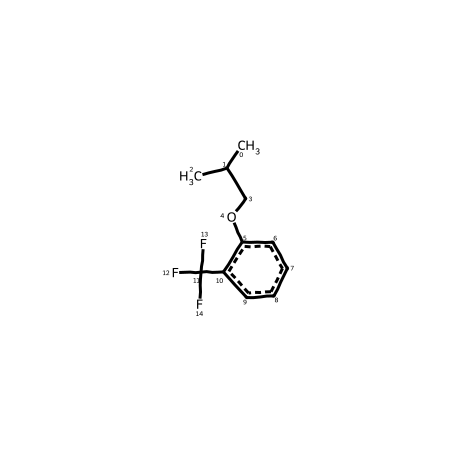 CC(C)COc1ccccc1C(F)(F)F